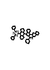 c1ccc(-c2nc(-c3ccccc3)nc(-c3c4ccccc4c(-c4cc5c(-c6ccccc6)nc6cc7ccccc7cc6c5c5ccccc45)c4ccccc34)n2)cc1